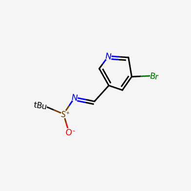 CC(C)(C)[S+]([O-])N=Cc1cncc(Br)c1